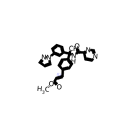 COC(=O)/C=C/c1ccc(C(C)(NC(=O)c2ccncn2)c2cccc(-n3cccn3)c2)cc1